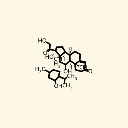 CC1CCC(C(C)C)C(O)C1.C[C@]12CCC(=O)C=C1CC[C@@H]1[C@@H]2[C@@H](O)C[C@@]2(C)[C@H]1CC[C@]2(O)C(=O)CO